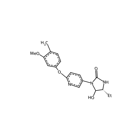 CC[C@H]1NC(=O)N(c2ccc(Oc3ccc(C)c(OC)c3)nc2)C1O